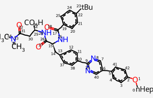 CCCCCCCOc1ccc(-c2cnc(-c3ccc(C[C@H](NC(=O)c4ccc(C(C)(C)C)cc4)C(=O)N[C@@H](CC(=O)N(C)C)C(=O)O)cc3)nc2)cc1